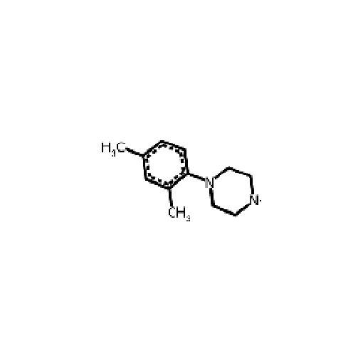 Cc1ccc(N2CC[N]CC2)c(C)c1